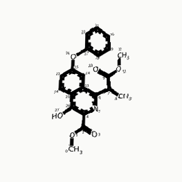 COC(=O)c1nc(C(C)C(=O)OC)c2cc(Oc3ccccc3)ccc2c1O